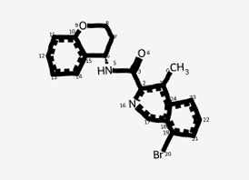 Cc1c(C(=O)N[C@H]2CCOc3ccccc32)ncc2c(Br)cccc12